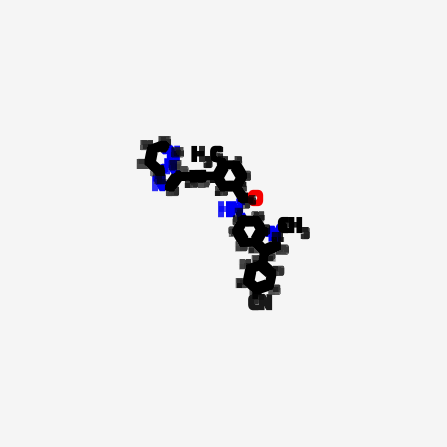 Cc1ccc(C(=O)Nc2ccc3c(-c4ccc(C#N)cc4)cn(C)c3c2)cc1C#Cc1cnc2cccnn12